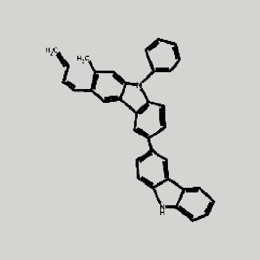 C=C/C=C\c1cc2c3cc(-c4ccc5[nH]c6ccccc6c5c4)ccc3n(-c3ccccc3)c2cc1C